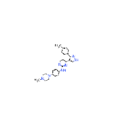 Cc1ccc(-c2n[nH]cc2-c2ccnc(Nc3ccc(N4CCN(C)CC4)cc3)n2)cc1